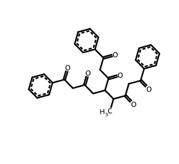 CC(C(=O)CC(=O)c1ccccc1)C(CC(=O)CC(=O)c1ccccc1)C(=O)CC(=O)c1ccccc1